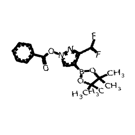 CC1(C)OB(c2cn(OC(=O)c3ccccc3)nc2C(F)F)OC1(C)C